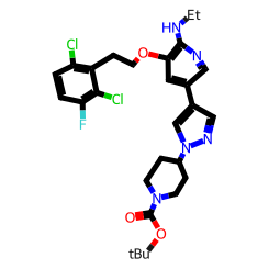 CCNc1ncc(-c2cnn(C3CCN(C(=O)OC(C)(C)C)CC3)c2)cc1OCCc1c(Cl)ccc(F)c1Cl